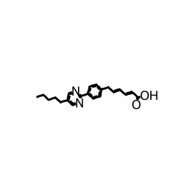 CCCCCc1cnc(-c2ccc(C/C=C/C=C/C(=O)O)cc2)nc1